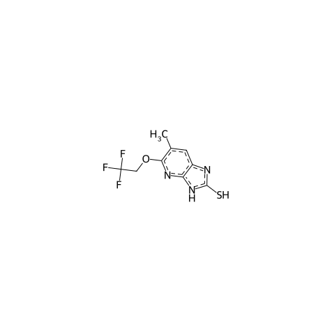 Cc1cc2nc(S)[nH]c2nc1OCC(F)(F)F